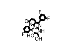 O=c1ccc2c(-c3cc(F)cc(F)c3)nc(NC(CO)CO)nc2n1-c1ccc(F)cc1F